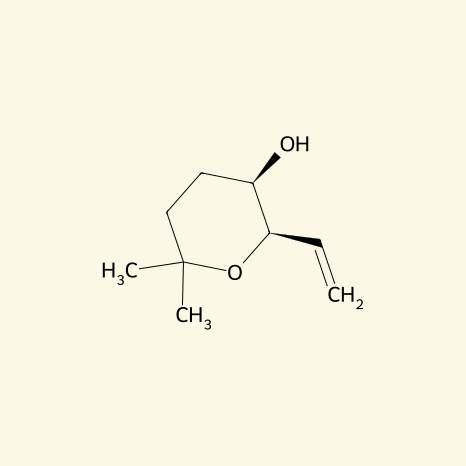 C=C[C@H]1OC(C)(C)CC[C@H]1O